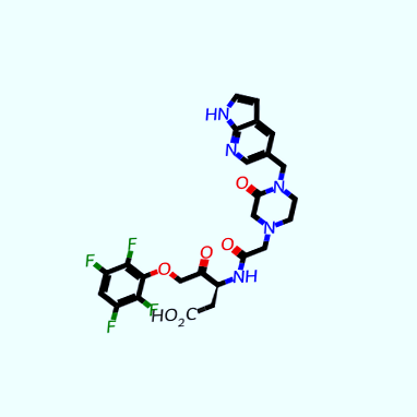 O=C(O)C[C@H](NC(=O)CN1CCN(Cc2cnc3[nH]ccc3c2)C(=O)C1)C(=O)COc1c(F)c(F)cc(F)c1F